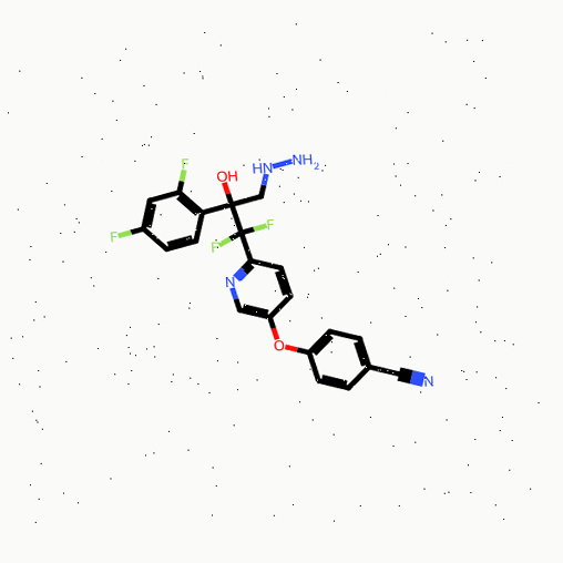 N#Cc1ccc(Oc2ccc(C(F)(F)C(O)(CNN)c3ccc(F)cc3F)nc2)cc1